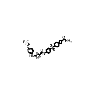 NC(=O)C1CC2(CCC(S(=O)(=O)c3ccc(NC(=O)c4nnc(Nc5ccc(OCC(F)(F)F)nc5)s4)cc3)CC2)C1